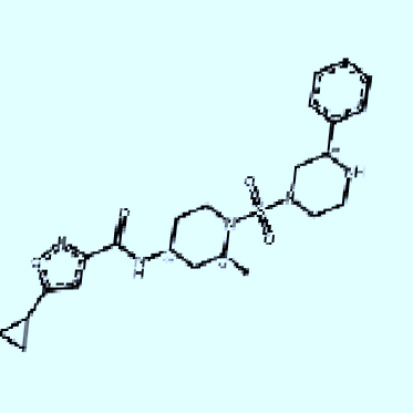 C[C@H]1C[C@@H](NC(=O)c2cc(C3CC3)on2)CCN1S(=O)(=O)N1CCN[C@H](c2ccccc2)C1